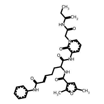 C=C(CC)NC(=O)Cn1cccc(NC(=O)C(CC/C=C/C(=O)Nc2ccccc2)NC(=O)c2cc(C)oc2C)c1=O